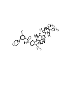 Cc1ccc(NC(=O)c2cc(F)cc(N3CCOCC3)c2)cc1Nc1ncnn2cc(C(=O)NC(C)N(C)C)c(C)c12